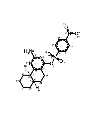 Nc1nc(OS(=O)(=O)c2ccc([N+](=O)[O-])cc2)c2c(n1)[C@@H]1CCCC[C@@H]1CC2